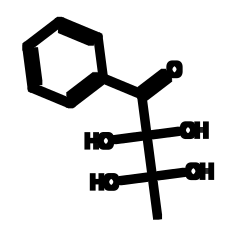 CC(O)(O)C(O)(O)C(=O)c1ccccc1